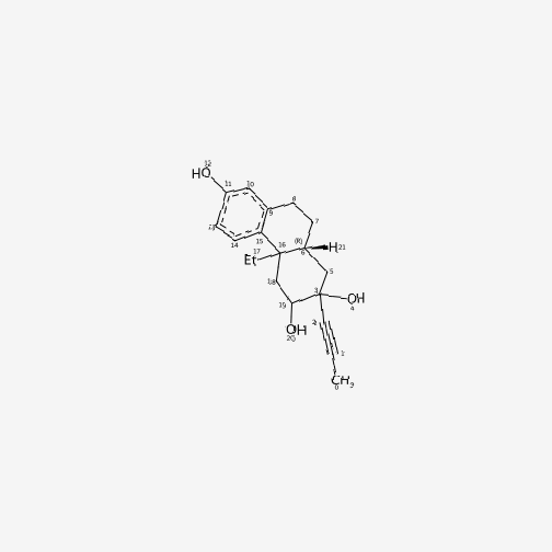 CC#CC1(O)C[C@H]2CCc3cc(O)ccc3C2(CC)CC1O